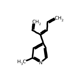 C=C/C=C(\C=C)c1ccnc(C)c1